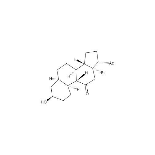 CC[C@]12CC(=O)[C@H]3[C@@H](CC[C@@H]4C[C@H](O)CC[C@@H]43)[C@@H]1CC[C@@H]2C(C)=O